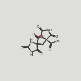 O=C1NC(=O)C(CC2(C(=O)O)NC(=O)NC2=O)(C(=O)O)N1